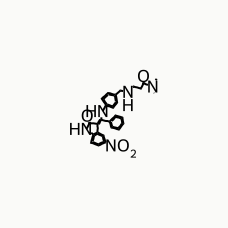 CN(C)C(=O)CCNCc1ccc(N/C(=C2\C(=O)Nc3ccc([N+](=O)[O-])cc32)c2ccccc2)cc1